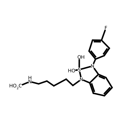 O=C(O)NCCCCCN1c2ccccc2N(c2ccc(F)cc2)S1(O)O